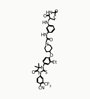 CCc1cc(N2C(=S)N(c3ccc(C#N)c(C(F)(F)F)c3)C(=O)C2(C)C)ccc1OC1CCN(CC(=O)Nc2cccc(NC3CCC(=O)NC3=O)c2)CC1